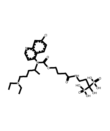 CCN(CC)CCCC(C)N(C(=O)OCCCC(=O)NCCC(O)(P(=O)(O)O)P(=O)(O)O)c1ccnc2cc(Cl)ccc12